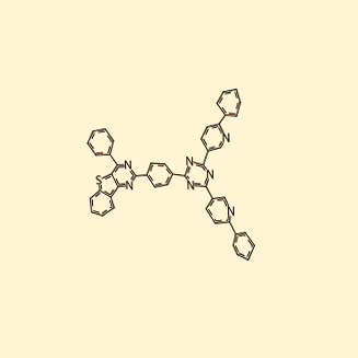 c1ccc(-c2ccc(-c3nc(-c4ccc(-c5nc(-c6ccccc6)c6sc7ccccc7c6n5)cc4)nc(-c4ccc(-c5ccccc5)nc4)n3)cn2)cc1